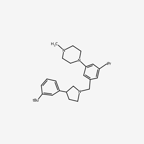 CC(C)c1cc(CN2CCC(c3cccc(C(C)(C)C)c3)C2)cc(N2CCN(C)CC2)c1